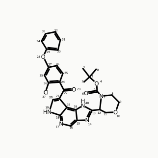 CC(C)(C)OC(=O)N1CCOCC1c1nc2cnc3[nH]cc(C(=O)c4ccc(Oc5ccccc5)cc4Cl)c3c2[nH]1